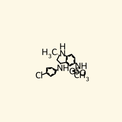 C[C@H]1C[C@@H](Nc2ccc(Cl)cc2)c2cc(NS(C)(=O)=O)ccc2N1